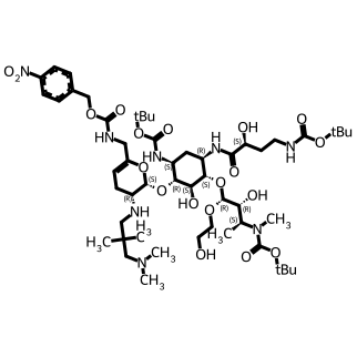 C[C@@H]([C@@H](O)[C@H](OCCO)O[C@@H]1[C@@H](O)[C@H](O[C@H]2OC(CNC(=O)OCc3ccc([N+](=O)[O-])cc3)=CC[C@H]2NCC(C)(C)CN(C)C)[C@@H](NC(=O)OC(C)(C)C)C[C@H]1NC(=O)[C@@H](O)CCNC(=O)OC(C)(C)C)N(C)C(=O)OC(C)(C)C